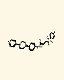 Cc1ccc(S(=O)(=O)N(C)CCC(=O)Nc2ccc(N3CCN(c4ccncc4)CC3)cc2)cc1